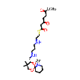 COC(=O)CCC(=O)CC(=O)SCCNCCCNC[C@@H]1OC2(CCCCN2C(C)=O)OCC1(C)C